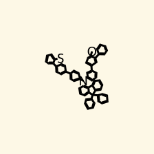 c1ccc(C2(c3ccccc3)c3ccccc3-c3c(N(c4ccc(-c5ccc6c(c5)sc5ccccc56)cc4)c4cccc(-c5ccc6oc7ccccc7c6c5)c4)cccc32)cc1